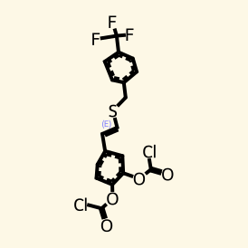 O=C(Cl)Oc1ccc(/C=C/SCc2ccc(C(F)(F)F)cc2)cc1OC(=O)Cl